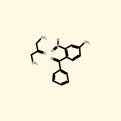 CCC(=O)CC.Cc1ccc(C(=O)c2ccccc2)c([N+](=O)[O-])c1